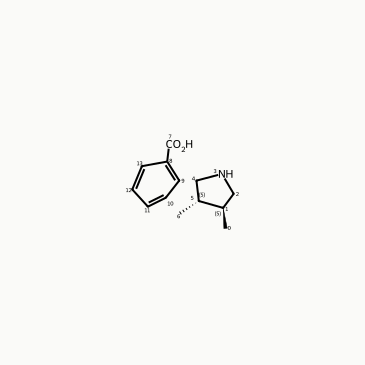 C[C@@H]1CNC[C@H]1C.O=C(O)c1ccccc1